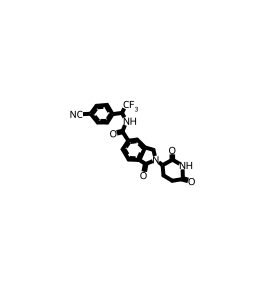 N#Cc1ccc(C(NC(=O)c2ccc3c(c2)CN(C2CCC(=O)NC2=O)C3=O)C(F)(F)F)cc1